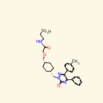 Cc1ccc(-c2nn(C[C@H]3CC[C@@H](COCC(=O)NCCS(=O)(=O)O)CC3)c(=O)nc2-c2ccccc2)cc1